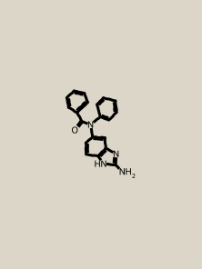 Nc1nc2cc(N(C(=O)c3ccccc3)c3ccccc3)ccc2[nH]1